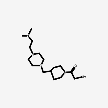 CC(C)CC(=O)N1CCC(CN2CCN(CCN(C)C)CC2)CC1